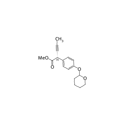 CC#C[C@@H](C(=O)OC)c1ccc(OC2CCCCO2)cc1